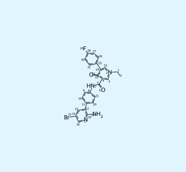 CCn1cc(C(=O)Nc2ccc(-c3cc(Br)cnc3N)cc2)c(=O)c(-c2ccc(F)cc2)c1